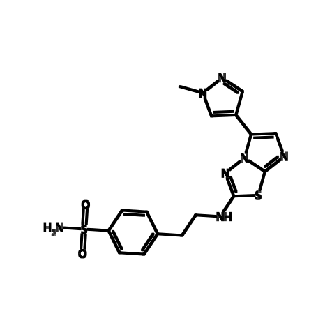 Cn1cc(-c2cnc3sc(NCCc4ccc(S(N)(=O)=O)cc4)nn23)cn1